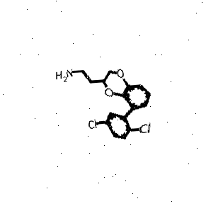 NCCC1COc2cccc(-c3cc(Cl)ccc3Cl)c2O1